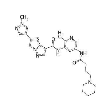 Cc1ncc(NC(=O)CCCN2CCCCC2)cc1NC(=O)c1cnn2cc(-c3cnn(C)c3)sc12